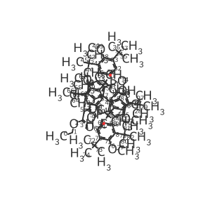 CCOC(=O)COc1c(Cl)ccc(P(=O)(c2cc(C(C)(C)C)c(OC)c(C(C)(C)C)c2)c2cc(C(C)(C)C)c(OC)c(C(C)(C)C)c2)c1-c1c(P(=O)(c2cc(C(C)(C)C)c(OC)c(C(C)(C)C)c2)c2cc(C(C)(C)C)c(OC)c(C(C)(C)C)c2)ccc(Cl)c1O